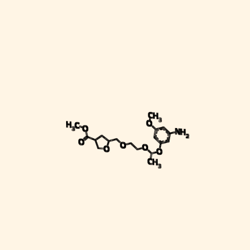 COC(=O)C1COC(COCCOC(C)Oc2cc(N)cc(OC)c2)C1